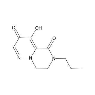 CCCN1CCn2ncc(=O)c(O)c2C1=O